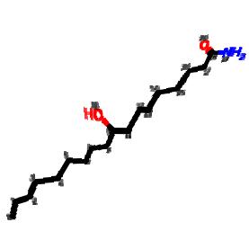 CCCCCCCCCC(O)CCCCCCCC(N)=O